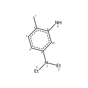 CCN(CC)c1ccc(C)c([NH])c1